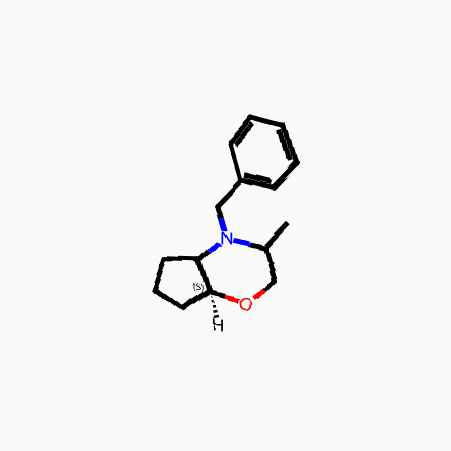 CC1CO[C@H]2CCCC2N1Cc1ccccc1